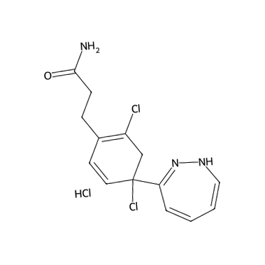 Cl.NC(=O)CCC1=C(Cl)CC(Cl)(C2=NNC=CC=C2)C=C1